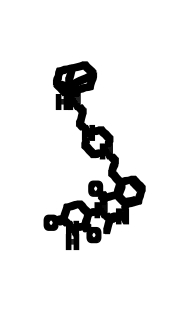 Cc1nc2cccc(CCN3CCN(CCNC45CC6CC(CC(C6)C4)C5)CC3)c2c(=O)n1C1CCC(=O)NC1=O